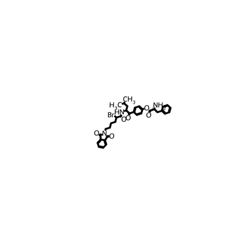 CC(C)CC(NC(=O)C(Br)CCCCN1C(=O)c2ccccc2C1=O)C(=O)c1ccc(OC(=O)[C@@H](N)Cc2ccccc2)cc1